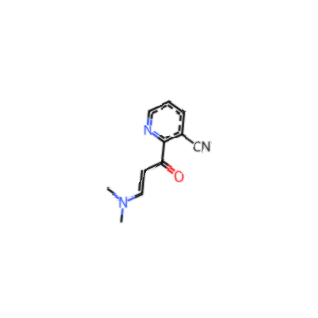 CN(C)C=CC(=O)c1ncccc1C#N